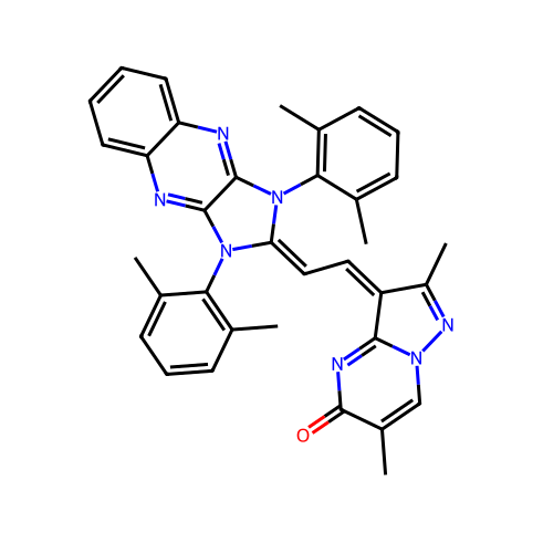 Cc1cccc(C)c1N1C(=C/C=c2/c(C)nn3cc(C)c(=O)nc23)N(c2c(C)cccc2C)c2nc3ccccc3nc21